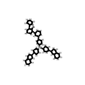 c1cc(-c2ccc(N(c3ccc(-c4ccc5ccccc5c4)cc3)c3ccc(-c4ccc5ccccc5c4)cc3)cc2)cc(-c2cccc3c2sc2ccccc23)c1